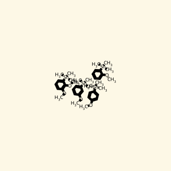 COc1cc[c]([Sn]([CH3])([CH3])[CH3])cc1.COc1ccc[c]([Sn]([CH3])([CH3])[CH3])c1.COc1ccc[c]([Sn]([CH3])([CH3])[CH3])c1OC.COc1cccc[c]1[Sn]([CH3])([CH3])[CH3]